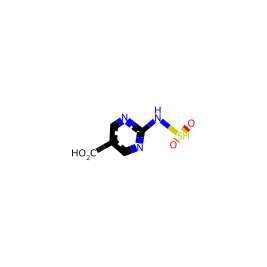 O=C(O)c1cnc(N[SH](=O)=O)nc1